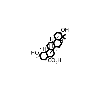 C[C@@H]1[C@H]2[C@H]3CC[C@@H]4[C@@]5(C)CC[C@H](O)C(C)(C)[C@@H]5CC[C@@]4(C)[C@]3(C)CC[C@@]2(C(=O)O)CC[C@@]1(C)O